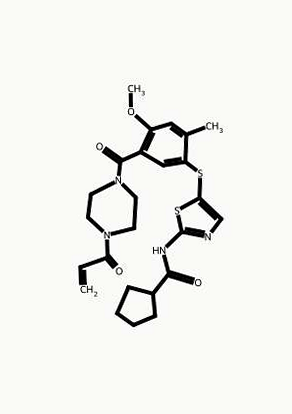 C=CC(=O)N1CCN(C(=O)c2cc(Sc3cnc(NC(=O)C4CCCC4)s3)c(C)cc2OC)CC1